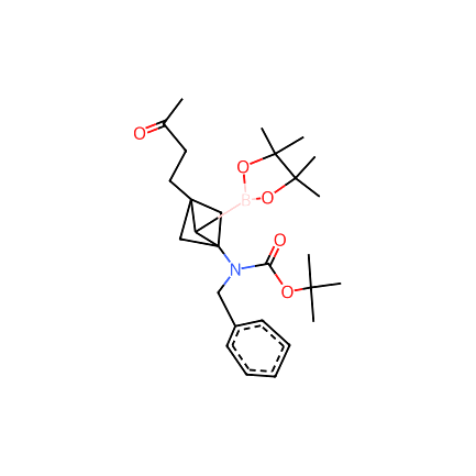 CC(=O)CCC12CC(N(Cc3ccccc3)C(=O)OC(C)(C)C)(C1)C2B1OC(C)(C)C(C)(C)O1